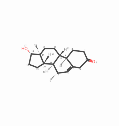 C[C@H]1C=C2CC(=O)CC[C@]2(C)[C@H]2CC[C@]3(C)[C@@H](O)CC[C@H]3[C@H]12